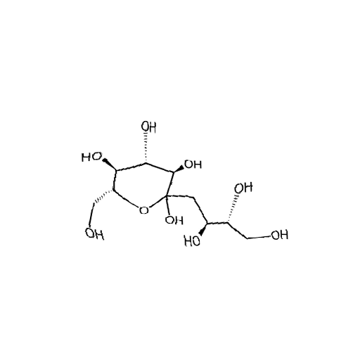 OC[C@@H](O)[C@@H](O)CC1(O)O[C@H](CO)[C@@H](O)[C@H](O)[C@H]1O